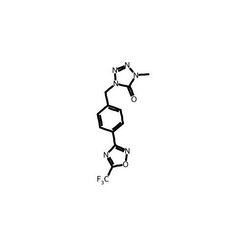 Cn1nnn(Cc2ccc(-c3noc(C(F)(F)F)n3)cc2)c1=O